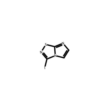 Ic1nsc2nccn12